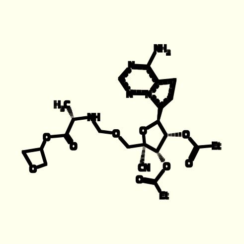 CCC(=O)O[C@H]1[C@H](c2ccc3c(N)ncnn23)O[C@](C#N)(COCN[C@@H](C)C(=O)OC2COC2)[C@H]1OC(=O)CC